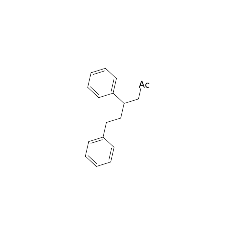 CC(=O)CC(CCc1ccccc1)c1ccccc1